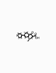 Cn1cc(C(=O)O)c(=O)c2ccc(-c3ccncc3)cc21